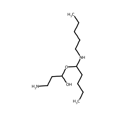 CCCCCNC(CCCC)OC(O)CCN